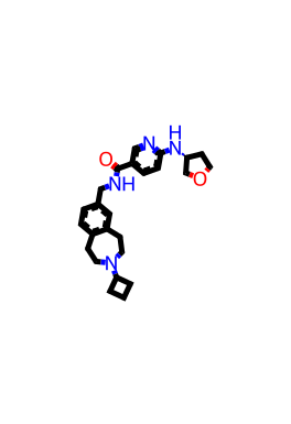 O=C(NCc1ccc2c(c1)CCN(C1CCC1)CC2)c1ccc(N[C@@H]2CCOC2)nc1